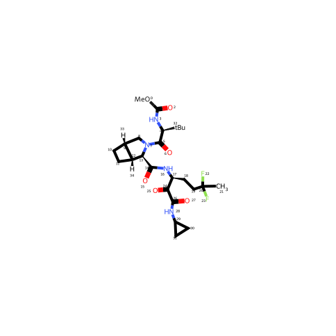 COC(=O)N[C@H](C(=O)N1C[C@H]2CC[C@H]2[C@@H]1C(=O)N[C@@H](CCC(C)(F)F)C(=O)C(=O)NC1CC1)C(C)(C)C